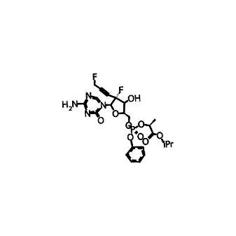 CC(C)OC(=O)[C@H](C)OP(=O)(OC[C@H]1O[C@@H](n2cnc(N)nc2=O)[C@@](F)(C#CCF)C1O)Oc1ccccc1